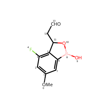 COc1cc(F)c2c(c1)B(O)OC2CC=O